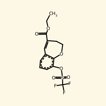 CCOC(=O)C1=Cc2cccc(OS(=O)(=O)C(F)(F)F)c2OCC1